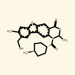 Cc1cc2oc3cc4c(cc3c2cc1CO)N(C(=O)[C@H]1CC[C@H](C)CC1)C(C)OC4=O